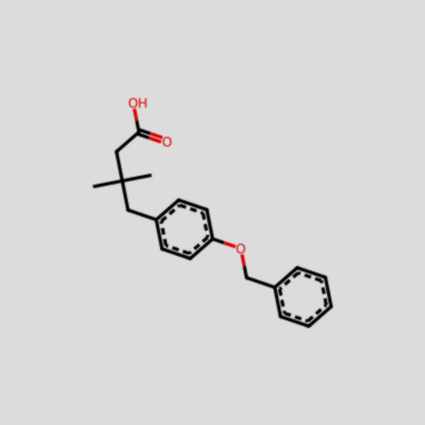 CC(C)(CC(=O)O)Cc1ccc(OCc2ccccc2)cc1